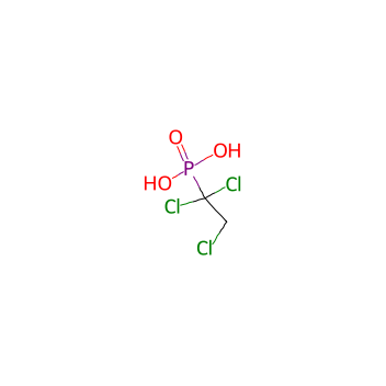 O=P(O)(O)C(Cl)(Cl)CCl